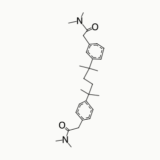 CN(C)C(=O)Cc1ccc(C(C)(C)CCC(C)(C)c2cccc(CC(=O)N(C)C)c2)cc1